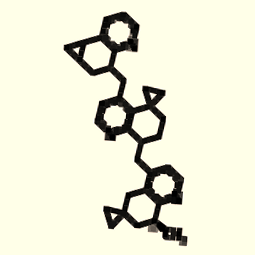 C[C@H]1CC2(CC2)Cc2c(CC3CCC4(CC4)c4c(CC5CC6CC6c6cccnc65)ccnc43)ccnc21